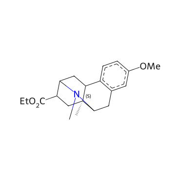 CCOC(=O)C1C[C@@]2(C)C3CC1N(C)C2Cc1cc(OC)ccc13